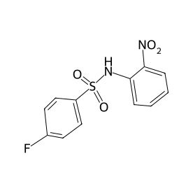 O=[N+]([O-])c1ccccc1NS(=O)(=O)c1ccc(F)cc1